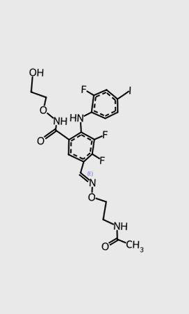 CC(=O)NCCO/N=C/c1cc(C(=O)NOCCO)c(Nc2ccc(I)cc2F)c(F)c1F